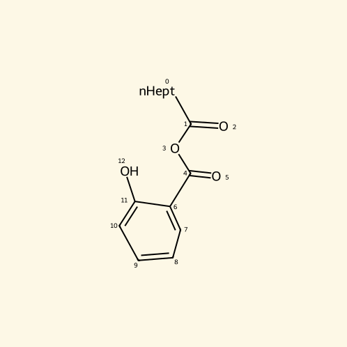 CCCCCCCC(=O)OC(=O)c1ccccc1O